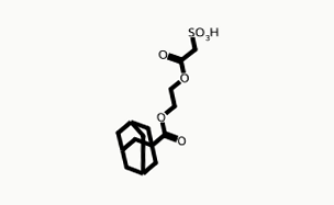 O=C(CS(=O)(=O)O)OCCOC(=O)C12CC3CC(CC(C3)C1)C2